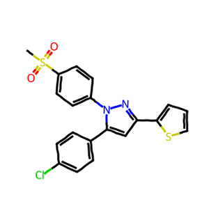 CS(=O)(=O)c1ccc(-n2nc(-c3cccs3)cc2-c2ccc(Cl)cc2)cc1